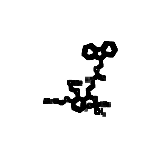 COCOc1cccc(C(CCNC(=O)OCC2c3ccccc3-c3ccccc32)O[Si](C)(C)C(C)(C)C)c1OCOC